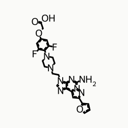 Nc1nc2c(ncn2CCN2CCN(c3c(F)cc(OCC(=O)O)cc3F)CC2)c2cc(-c3ccco3)nn12